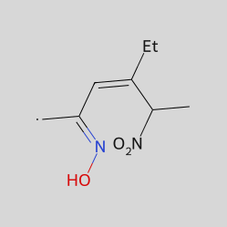 [CH2]C(C=C(CC)C(C)[N+](=O)[O-])=NO